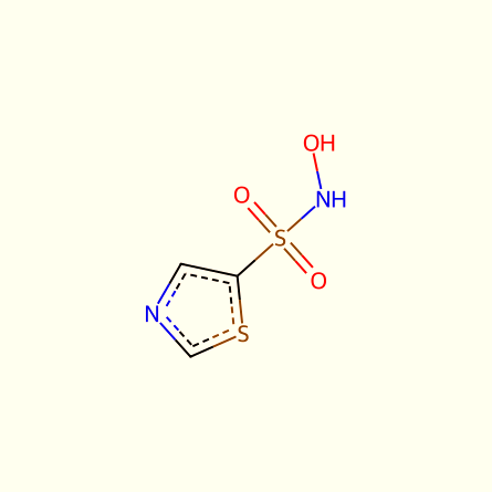 O=S(=O)(NO)c1cncs1